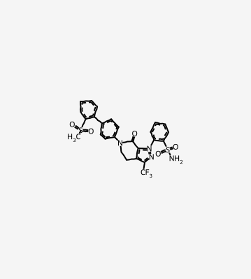 CS(=O)(=O)c1ccccc1-c1ccc(N2CCc3c(C(F)(F)F)nn(-c4ccccc4S(N)(=O)=O)c3C2=O)cc1